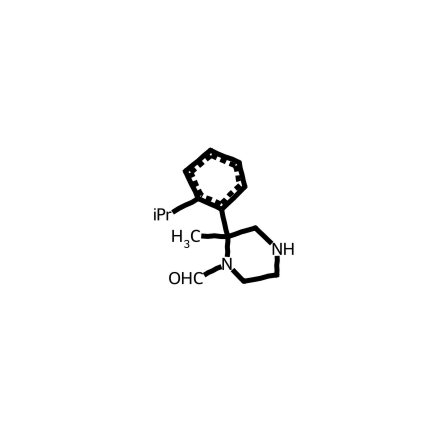 CC(C)c1ccccc1C1(C)CNCCN1C=O